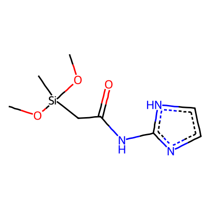 CO[Si](C)(CC(=O)Nc1ncc[nH]1)OC